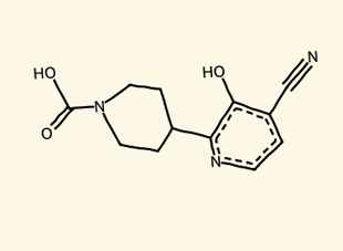 N#Cc1ccnc(C2CCN(C(=O)O)CC2)c1O